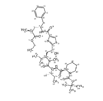 CCOC(=O)[C@@H](C)C[C@H](Cc1ccccc1)NC(=O)c1csc([C@H](O)C[C@H](C(C)C)N(C)C(=O)[C@@H](NC(=O)[C@H]2CCCCN2C(=O)OC(C)(C)C)[C@@H](I)CC)n1